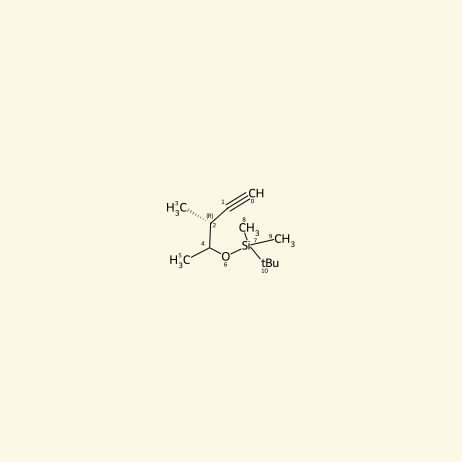 C#C[C@@H](C)C(C)O[Si](C)(C)C(C)(C)C